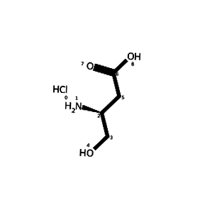 Cl.N[C@H](CO)CC(=O)O